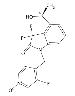 C[C@H](O)c1cccc2c1C(F)(F)C(=O)N2Cc1cc[n+]([O-])cc1F